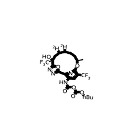 [2H]C1CC[C@@H](C)Oc2nc(c(NC(=O)OC(=O)OCCCC)cc2C(F)(F)F)-c2nnc(o2)[C@@](O)(C(F)(F)F)CC1[2H]